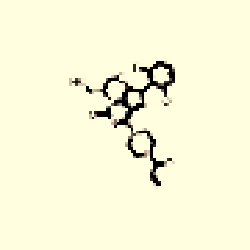 C=CC(=O)N1CCN(c2nc(=O)n3c4c2=CC(c2c(O)cccc2F)C=4OC[C@@H]3CO)CC1